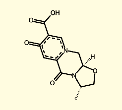 C[C@H]1CO[C@@H]2Cn3cc(C(=O)O)c(=O)cc3C(=O)N12